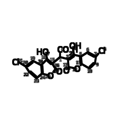 O=C(O)C(c1c(O)c2cc(Cl)ccc2oc1=O)c1c(O)c2cc(Cl)ccc2oc1=O